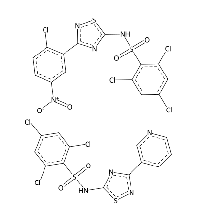 O=S(=O)(Nc1nc(-c2cccnc2)ns1)c1c(Cl)cc(Cl)cc1Cl.O=[N+]([O-])c1ccc(Cl)c(-c2nsc(NS(=O)(=O)c3c(Cl)cc(Cl)cc3Cl)n2)c1